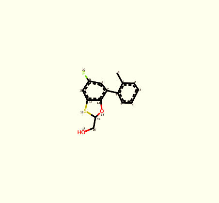 Cc1ccccc1-c1cc(F)cc2c1OC(CO)S2